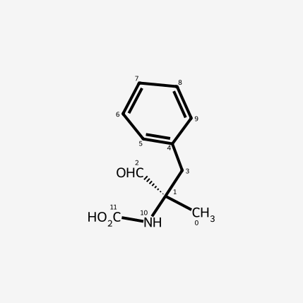 C[C@](C=O)(Cc1ccccc1)NC(=O)O